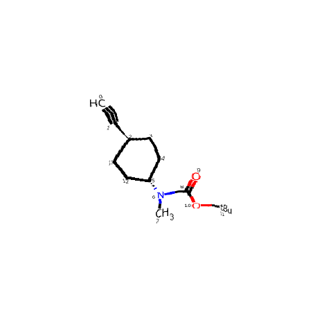 C#C[C@H]1CC[C@H](N(C)C(=O)OC(C)(C)C)CC1